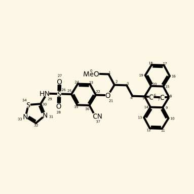 COCC(CCC12CCC(c3ccccc31)c1ccccc12)Oc1ccc(S(=O)(=O)Nc2ncns2)cc1C#N